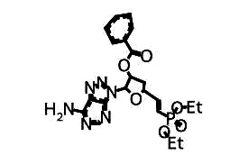 CCOP(=O)(C=CC1CC(OC(=O)c2ccccc2)C(n2nnc3c(N)ncnc32)O1)OCC